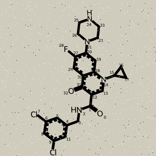 O=C(NCc1cc(Cl)cc(Cl)c1)c1cn(C2CC2)c2cc(N3CCNCC3)c(F)cc2c1=O